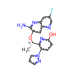 C[C@H](Oc1cc2ncc(F)cc2nc1N)c1nc(O)ccc1-n1cccn1